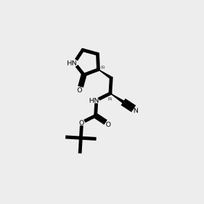 CC(C)(C)OC(=O)N[C@H](C#N)C[C@@H]1CCNC1=O